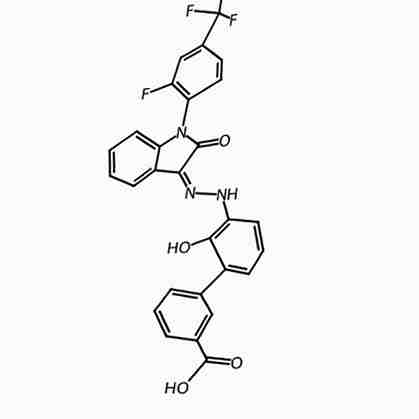 O=C(O)c1cccc(-c2cccc(NN=C3C(=O)N(c4ccc(C(F)(F)F)cc4F)c4ccccc43)c2O)c1